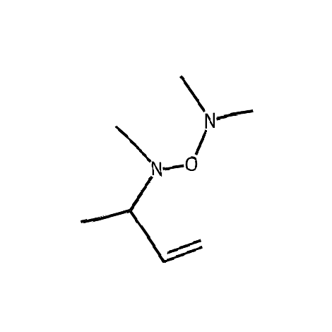 C=CC(C)N(C)ON(C)C